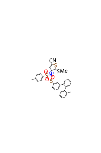 CSC1SC(C#N)=CC1=[N+](OSc1cccc(-c2ccccc2-c2ccccc2C)c1)S(=O)(=O)c1ccc(C)cc1